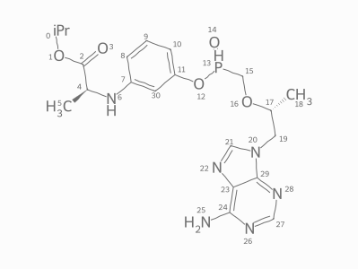 CC(C)OC(=O)[C@H](C)Nc1cccc(O[PH](=O)CO[C@H](C)Cn2cnc3c(N)ncnc32)c1